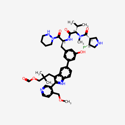 COCc1ccncc1-c1[nH]c2ccc(-c3cc(O)cc(C[C@H](NC(=O)[C@H](C(C)C)N(C)C(=O)[C@@H]4CNC[C@@H]4F)C(=O)N4CCCCN4)c3)cc2c1CC(C)(C)COC=O